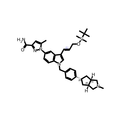 Cc1cc(C(N)=O)nn1-c1ccc2c(c1)c(/C=C/CO[Si](C)(C)C(C)(C)C)cn2Cc1ccc([C@@H]2C[C@@H]3CN(C)C[C@@H]3C2)cc1